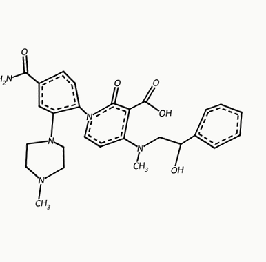 CN1CCN(c2cc(C(N)=O)ccc2-n2ccc(N(C)CC(O)c3ccccc3)c(C(=O)O)c2=O)CC1